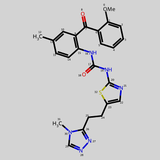 COc1ccccc1C(=O)c1cc(C)ccc1NC(=O)Nc1ncc(CCc2nncn2C)s1